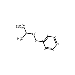 CCOC(=O)C(C)OCc1ccccc1